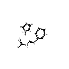 CC(=O)OC=Cc1ccccc1.c1cc[nH]c1